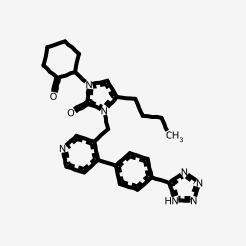 CCCCc1cn(C2CCCCC2=O)c(=O)n1Cc1cnccc1-c1ccc(-c2nnn[nH]2)cc1